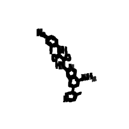 Cc1cc(C#N)ccc1NC(=O)C(=O)Nc1cc2cc(-c3cnccc3C)cc(N)c2cn1